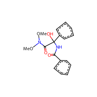 CON(OC)C(=O)C(O)(NC(=O)c1ccccc1)c1ccccc1